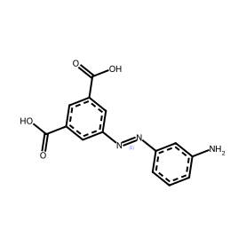 Nc1cccc(/N=N/c2cc(C(=O)O)cc(C(=O)O)c2)c1